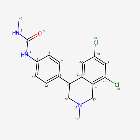 CNC(=O)Nc1ccc(C2CN(C)Cc3c(Cl)cc(Cl)cc32)cc1